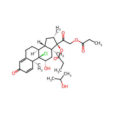 CC(C)O.CCC(=O)OCC(=O)[C@@]1(OC(=O)CC)[C@@H](C)C[C@H]2[C@@H]3CCC4=CC(=O)C=C[C@]4(C)[C@@]3(Cl)[C@@H](O)C[C@@]21C